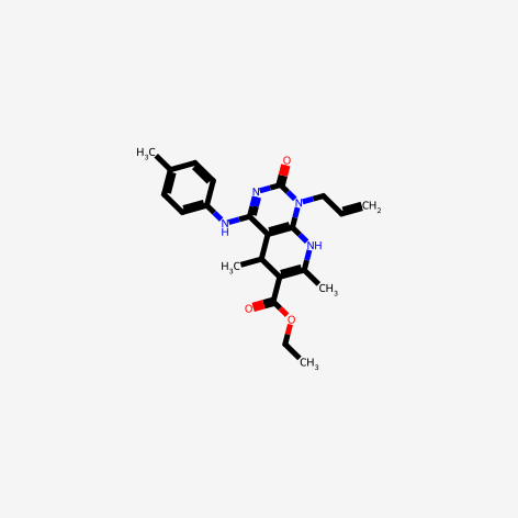 C=CCn1c2c(c(Nc3ccc(C)cc3)nc1=O)C(C)C(C(=O)OCC)=C(C)N2